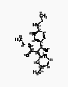 CCNc1ccc(-c2nn3c(c2C(=O)OCC)O[C@H](C)CC3)cn1